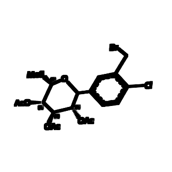 CS[C@H]1OC(c2ccc(Cl)c(CBr)c2)[C@H](OC(C)=O)[C@@H](OC(C)=O)[C@@H]1OC(C)=O